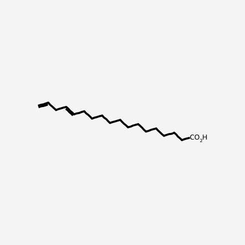 C=CC/C=C/CCCCCCCCCCCCC(=O)O